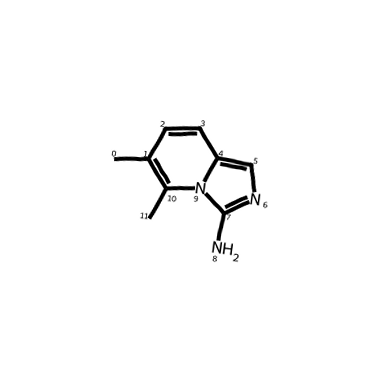 Cc1ccc2cnc(N)n2c1C